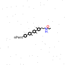 C=CC(=O)NCCCc1ccc(-c2ccc(-c3ccc(-c4ccc(CCCCC)cc4)cc3C)cc2C)c(C)c1